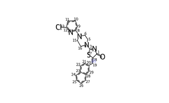 O=C1N=C(N2CCN(c3cccc(Cl)n3)CC2)S/C1=C\c1ccc2ccccc2c1